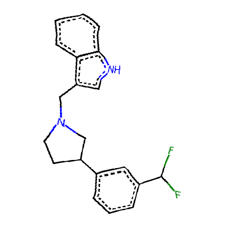 FC(F)c1cccc(C2CCN(Cc3c[nH]c4ccccc34)C2)c1